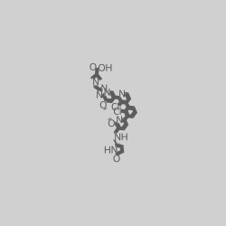 COc1nc(-c2cccc(-c3ccnc(-c4cc(OC)c5nc(CN6CC(C(=O)O)C6)nn5c4)c3Cl)c2Cl)ccc1CNC[C@H]1CCC(=O)N1